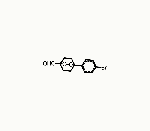 O=CC12CCC(c3ccc(Br)cc3)(CC1)CC2